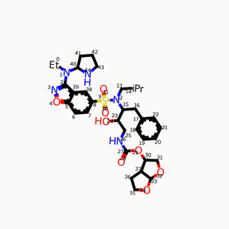 CCN(c1noc2ccc(S(=O)(=O)N(CC(C)C)C(Cc3ccccc3)C(O)CNC(=O)OC3COC4OCCC34)cc12)C1CCCN1